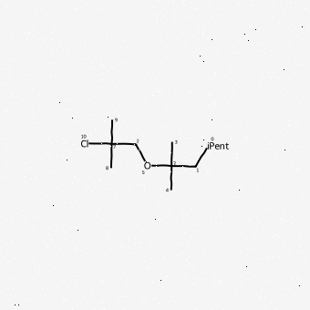 CCCC(C)CC(C)(C)OCC(C)(C)Cl